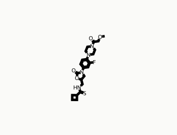 COCC(=O)N1CCN(c2ccc(N3CC(CNC(=S)C4CCC4)OC3=O)cc2F)CC1